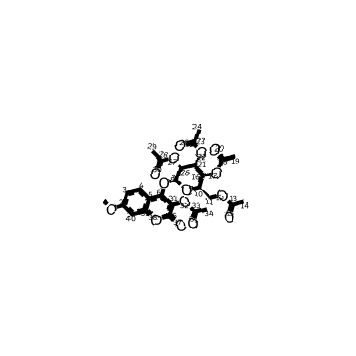 COc1ccc2c(O[C@@H]3O[C@H](COC(C)=O)[C@H](OC(C)=O)[C@H](OC(C)=O)[C@H]3OC(C)=O)c(OC(C)=O)c(=O)oc2c1